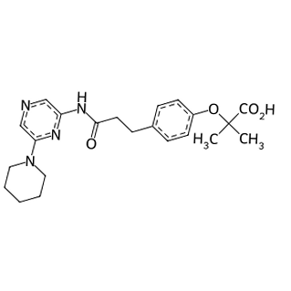 CC(C)(Oc1ccc(CCC(=O)Nc2cncc(N3CCCCC3)n2)cc1)C(=O)O